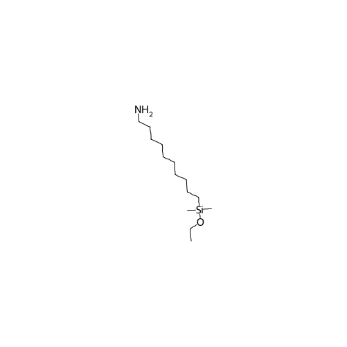 CCO[Si](C)(C)CCCCCCCCCCN